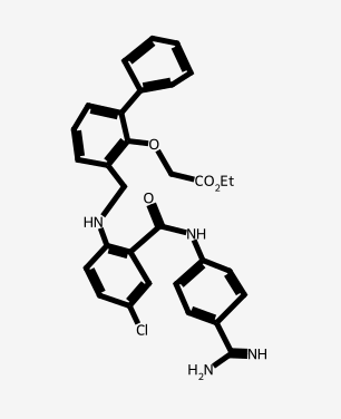 CCOC(=O)COc1c(CNc2ccc(Cl)cc2C(=O)Nc2ccc(C(=N)N)cc2)cccc1-c1ccccc1